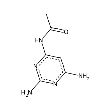 CC(=O)Nc1cc(N)nc(N)n1